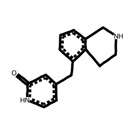 O=c1cc(Cc2cccc3c2CCNC3)cc[nH]1